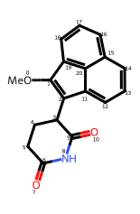 COC1=C(C2CCC(=O)NC2=O)c2cccc3cccc1c23